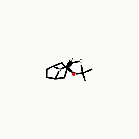 CC(C)(C)OC(=O)N1C2CCC1CC(F)(CO)C2